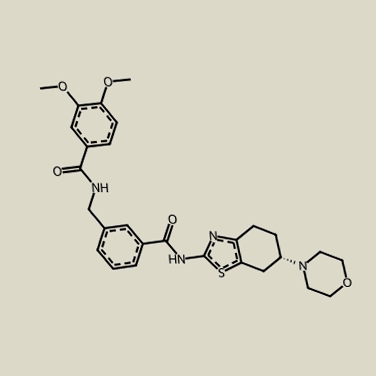 COc1ccc(C(=O)NCc2cccc(C(=O)Nc3nc4c(s3)C[C@@H](N3CCOCC3)CC4)c2)cc1OC